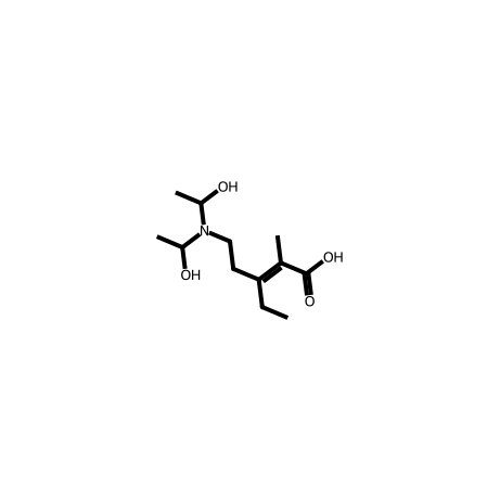 CCC(CCN(C(C)O)C(C)O)=C(C)C(=O)O